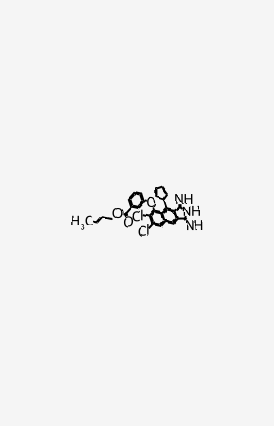 CCCCOC(=O)c1cccc(Oc2c(Cl)c(Cl)cc3cc4c(c(C5C=CC=C5)c23)C(=N)NC4=N)c1